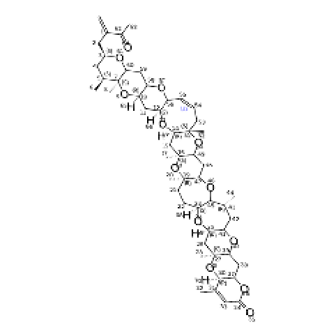 C=C(C[C@@H]1C[C@H](C)[C@]2(C)O[C@@H]3C[C@@H]4O[C@@H]5C[C@]6(C)O[C@]7(C)CC[C@@H]8O[C@@H]9C[C@]%10(C)O[C@@H]%11C(C)=CC(=O)OC%11CC%10OC9C[C@@H](C)C8OC7CC6O[C@@]5(C)C/C=C\C4OC3CC2O1)C(C)=O